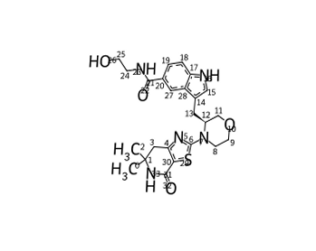 CC1(C)Cc2nc(N3CCOC[C@@H]3Cc3c[nH]c4ccc(C(=O)NCCO)cc34)sc2C(=O)N1